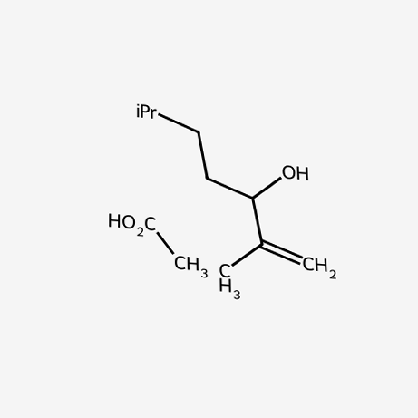 C=C(C)C(O)CCC(C)C.CC(=O)O